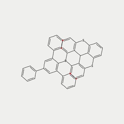 c1ccc(-c2cc(-c3ccccc3)c(B3c4cccc5c4C4c6c(cccc6Sc6cccc3c64)S5)c(-c3ccccc3)c2)cc1